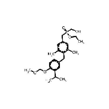 CCOP(=O)(CO)Cc1cc(C)c(Cc2ccc(OCOC)c(C(C)C)c2)c(C)c1